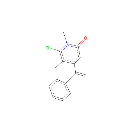 C=C(c1ccccc1)c1cc(=O)n(C)c(Cl)c1C